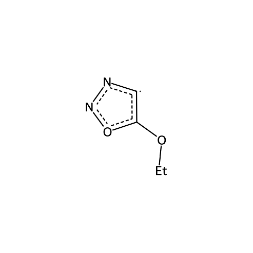 CCOc1[c]nno1